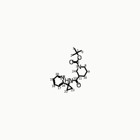 CC(C)(C)OC(=O)N1CCCC(C(=O)NC2(c3ccccn3)CC2)C1